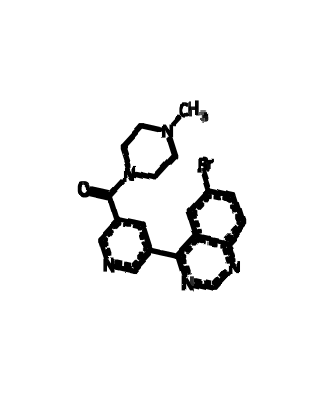 CN1CCN(C(=O)c2cncc(-c3ncnc4ccc(Br)cc34)c2)CC1